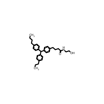 CCCCc1ccc(C(c2ccc(CCC)cc2)c2ccc(CCCC(=O)NCCO)cc2)cc1